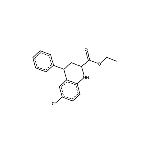 CCOC(=O)C1CC(c2ccccc2)c2cc(Cl)ccc2N1